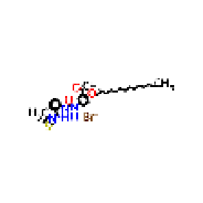 CCCCCCCCCCCCCCOc1ccc(NC(=O)Nc2ccccc2C[n+]2cscc2C)cc1C(C)=O.[Br-]